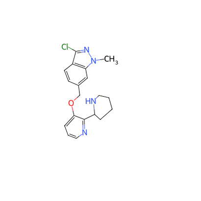 Cn1nc(Cl)c2ccc(COc3cccnc3C3CCCCN3)cc21